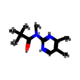 Cc1cnc(N(C)C(=O)C(C)(C)C)nc1C